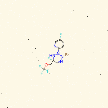 Fc1ccc(N2NC(F)(COC(F)(F)F)C=NN2Br)nc1